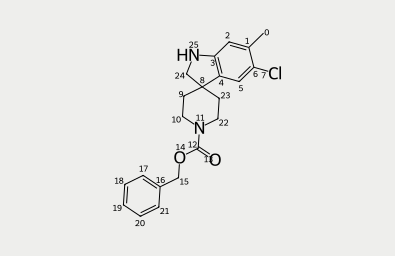 Cc1cc2c(cc1Cl)C1(CCN(C(=O)OCc3ccccc3)CC1)CN2